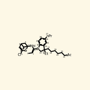 CC=C(NC12CC(C=C(Cl)S1)C2C)N1CC(CC)(CCCCCCC(C)=O)c2cc(CCC)ccc21